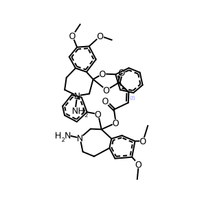 COc1cc2c(cc1OC)C(OC(=O)/C=C\C(=O)OC1(Oc3ccccc3)CN(N)CCc3cc(OC)c(OC)cc31)(Oc1ccccc1)CN(N)CC2